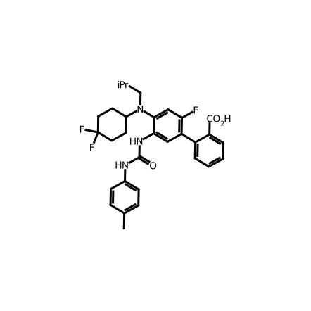 Cc1ccc(NC(=O)Nc2cc(-c3ccccc3C(=O)O)c(F)cc2N(CC(C)C)C2CCC(F)(F)CC2)cc1